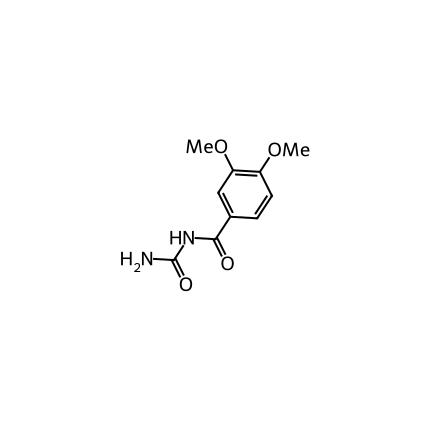 COc1ccc(C(=O)NC(N)=O)cc1OC